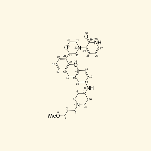 COCCCN1CCC(Nc2ccc3c(c2)Cc2cccc(C4CN(c5ccc[nH]c5=O)CCO4)c2O3)CC1